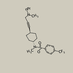 CCCN(C)CC#C[C@H]1CC[C@H](N(C)S(=O)(=O)c2ccc(C(F)(F)F)cc2)CC1